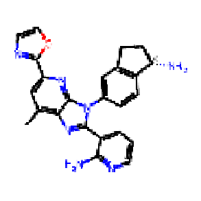 Cc1cc(-c2ncco2)nc2c1nc(-c1cccnc1N)n2-c1ccc2c(c1)CC[C@@H]2N